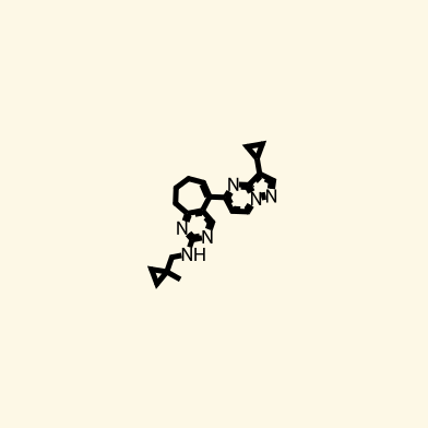 CC1(CNc2ncc3c(n2)CCCC=C3c2ccn3ncc(C4CC4)c3n2)CC1